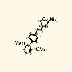 COC1=CC=N[C@H](OC)N1c1ccc(CCC2COC(N)=N2)cc1